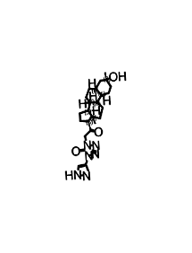 C[C@@]1(O)CC[C@H]2[C@H](CC[C@@H]3[C@@H]2CC[C@]2(C)[C@@H](C(=O)Cn4nnn(-c5cn[nH]c5)c4=O)CC[C@@H]32)C1